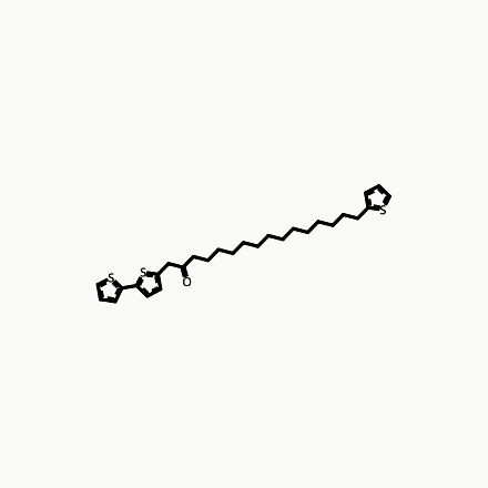 O=C(CCCCCCCCCCCCCCc1cccs1)Cc1ccc(-c2cccs2)s1